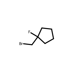 FC1(CBr)CCCC1